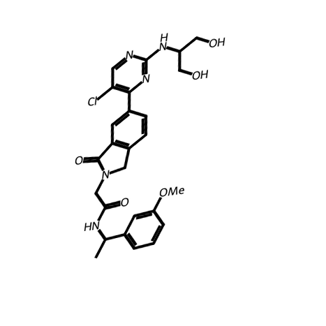 COc1cccc(C(C)NC(=O)CN2Cc3ccc(-c4nc(NC(CO)CO)ncc4Cl)cc3C2=O)c1